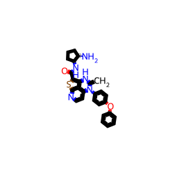 C=c1[nH]c2c(C(=O)NC3CCC[C@@H]3N)sc3nccc(c32)n1-c1ccc(Oc2ccccc2)cc1